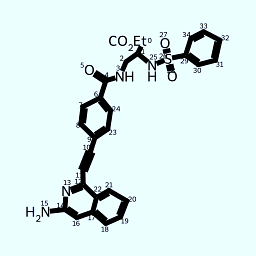 CCOC(=O)C(CNC(=O)c1ccc(C#Cc2nc(N)cc3ccccc23)cc1)NS(=O)(=O)c1ccccc1